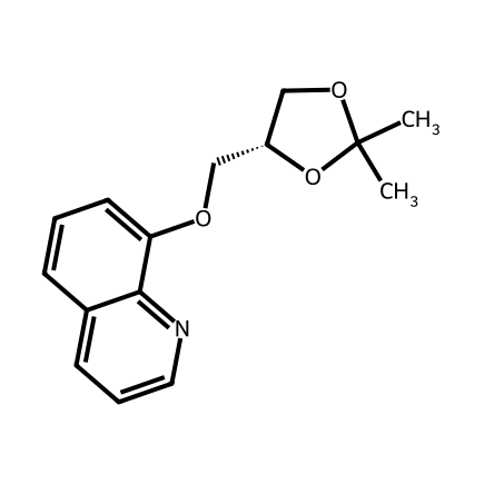 CC1(C)OC[C@@H](COc2cccc3cccnc23)O1